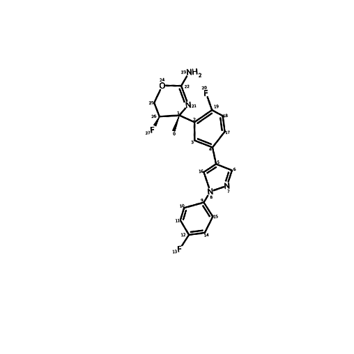 C[C@]1(c2cc(-c3cnn(-c4ccc(F)cc4)c3)ccc2F)N=C(N)OC[C@@H]1F